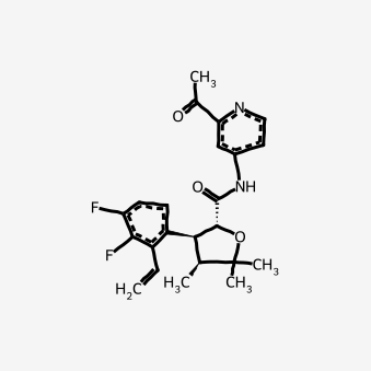 C=Cc1c([C@H]2[C@H](C(=O)Nc3ccnc(C(C)=O)c3)OC(C)(C)[C@H]2C)ccc(F)c1F